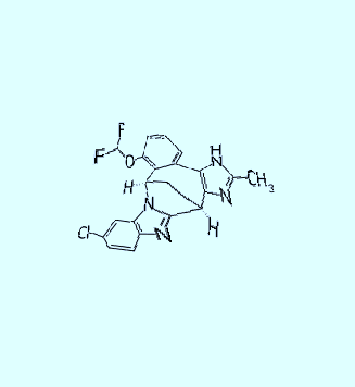 Cc1nc2c([nH]1)-c1cccc(OC(F)F)c1[C@H]1C[C@@H]2c2nc3ccc(Cl)cc3n21